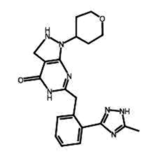 Cc1nc(-c2ccccc2Cc2nc3c(c(=O)[nH]2)CNN3C2CCOCC2)n[nH]1